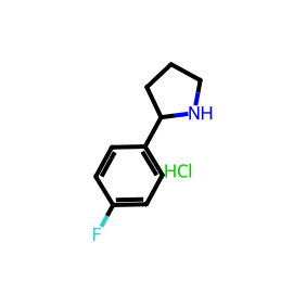 Cl.Fc1ccc(C2CCCN2)cc1